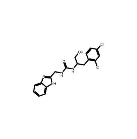 O=C(NCc1nc2ccccc2[nH]1)NC(CO)Cc1ccc(Cl)cc1Cl